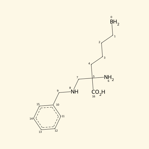 BCCCCC(N)(CNCc1ccccc1)C(=O)O